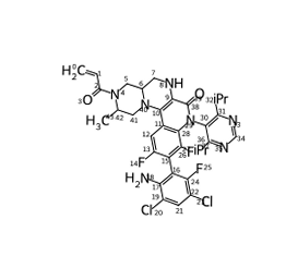 C=CC(=O)N1CC2CNc3c(c4cc(F)c(-c5c(N)c(Cl)cc(Cl)c5F)c(F)c4n(-c4c(C(C)C)ncnc4C(C)C)c3=O)N2CC1C